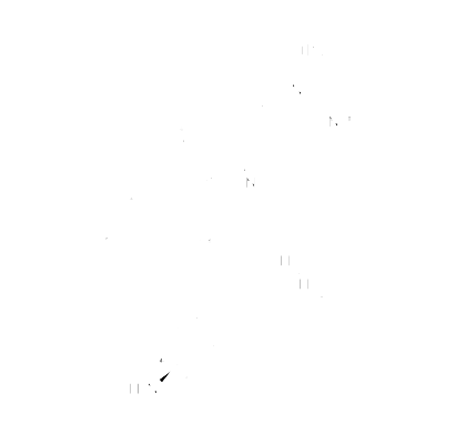 CC(C)(C)n1cc(NC(=O)c2cccc([C@@H]3C[C@H]3N)c2)cn1.Cl.Cl